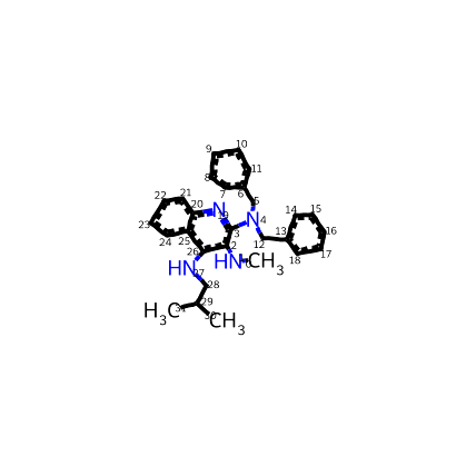 CNc1c(N(Cc2ccccc2)Cc2ccccc2)nc2ccccc2c1NCC(C)C